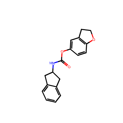 O=C(NC1Cc2ccccc2C1)Oc1ccc2c(c1)CCO2